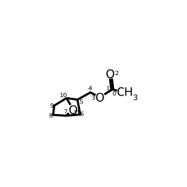 CC(=O)OCC1CC2CCC1O2